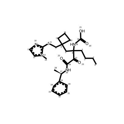 CCCCC(CC1(CSc2nccn2C)CCC1)(NC(=O)O)C(=O)C(=O)N[C@H](C)c1ccccc1